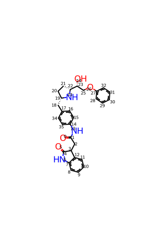 O=C(CC1C(=O)Nc2ccccc21)Nc1ccc(C[C@@H]2CC[C@H]([C@H](O)COc3ccccc3)N2)cc1